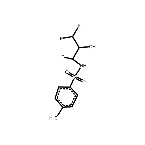 Cc1ccc(S(=O)(=O)NC(F)C(O)C(F)F)cc1